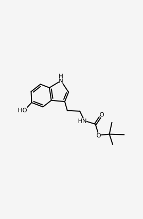 CC(C)(C)OC(=O)NCCc1c[nH]c2ccc(O)cc12